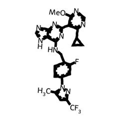 COc1ncnc(C2CC2)c1-c1nc(NCc2ccc(-n3nc(C(F)(F)F)cc3C)cc2F)c2[nH]cnc2n1